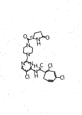 CC(Nc1nc(N2CCN(C(=O)[C@H]3CCC(=O)N3)CC2)ncc1Cl)C1=C(Cl)C=C(Cl)C#CC1